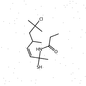 CCC(=O)NC(C)(S)/C=C\C(C)CC(C)(C)Cl